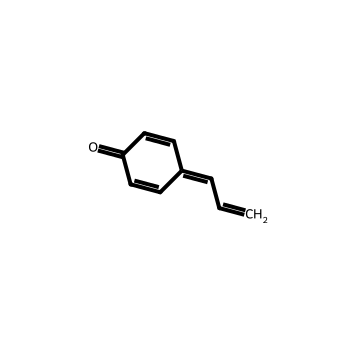 C=CC=C1C=CC(=O)C=C1